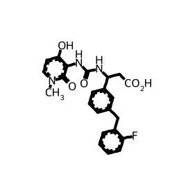 Cn1ccc(O)c(NC(=O)NC(CC(=O)O)c2cccc(Cc3ccccc3F)c2)c1=O